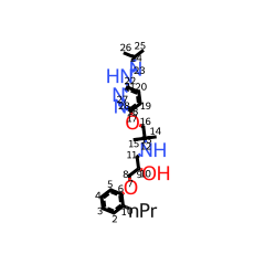 CCCc1ccccc1OCC(O)CNC(C)(C)COc1ccc(NN=C(C)C)nn1